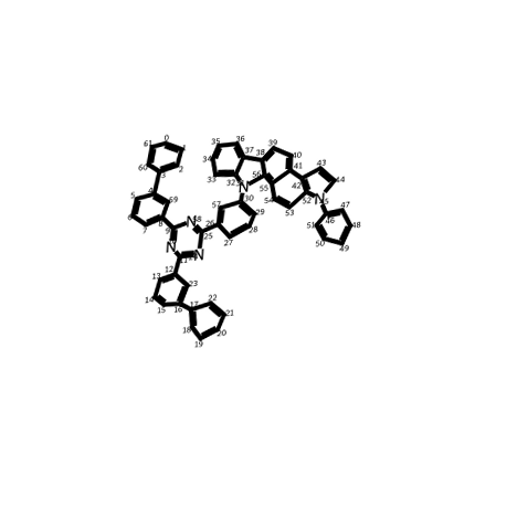 c1ccc(-c2cccc(-c3nc(-c4cccc(-c5ccccc5)c4)nc(-c4cccc(-n5c6ccccc6c6ccc7c8ccn(-c9ccccc9)c8ccc7c65)c4)n3)c2)cc1